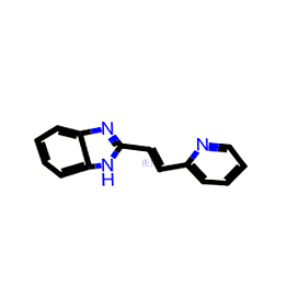 C(=C\c1nc2ccccc2[nH]1)/c1ccccn1